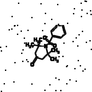 CC1(C)CC(=O)CC(C)(C)N1S(=O)(=O)c1ccccc1